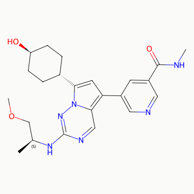 CNC(=O)c1cncc(-c2cc([C@H]3CC[C@H](O)CC3)n3nc(N[C@@H](C)COC)ncc23)c1